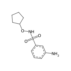 Nc1cccc(S(=O)(=O)NOC2CCCC2)c1